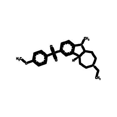 CCN1CCC2[C@H](CC1)c1cc(S(=O)(=O)c3ccc(OC)cc3)ccc1N2C